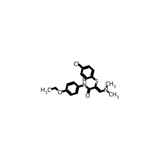 CCOc1ccc(NC(=O)C(=CN(C)C)Sc2ccc(Cl)cc2)cc1